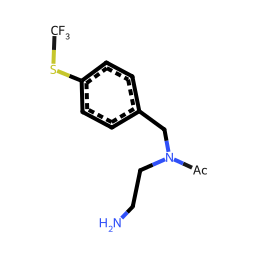 CC(=O)N(CCN)Cc1ccc(SC(F)(F)F)cc1